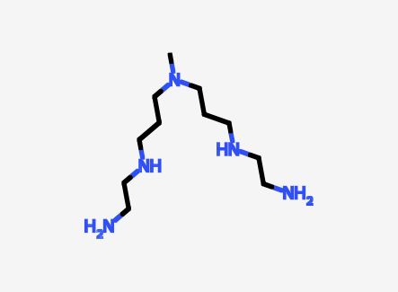 CN(CCCNCCN)CCCNCCN